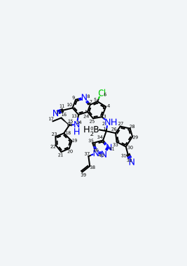 BC(Nc1cc(Cl)c2ncc(C#N)c(N[C@H](CC)c3ccccc3)c2c1)(c1cccc(C#N)c1)c1cn(CC=C)nn1